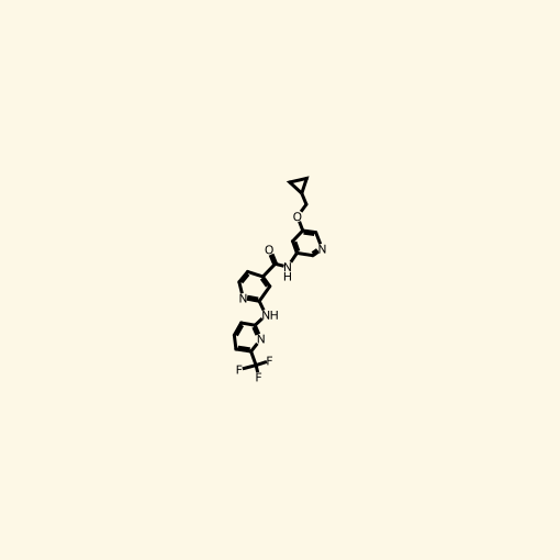 O=C(Nc1cncc(OCC2CC2)c1)c1ccnc(Nc2cccc(C(F)(F)F)n2)c1